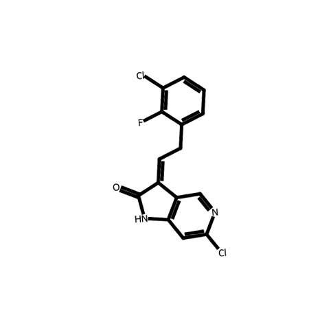 O=C1Nc2cc(Cl)ncc2/C1=C\Cc1cccc(Cl)c1F